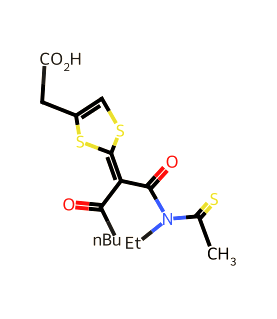 CCCCC(=O)/C(C(=O)N(CC)C(C)=S)=C1/SC=C(CC(=O)O)S1